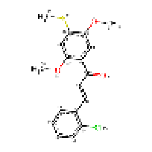 COc1cc(C(=O)C=Cc2ccccc2Cl)c(OC)cc1SC